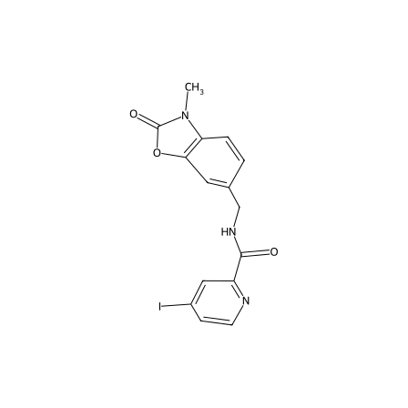 Cn1c(=O)oc2cc(CNC(=O)c3cc(I)ccn3)ccc21